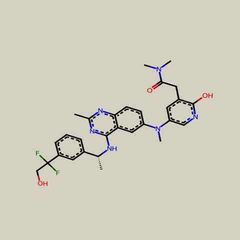 Cc1nc(N[C@H](C)c2cccc(C(F)(F)CO)c2)c2cc(N(C)c3cnc(O)c(CC(=O)N(C)C)c3)ccc2n1